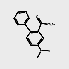 COC(=O)c1cc(N(C)C)ccc1-c1ccccc1